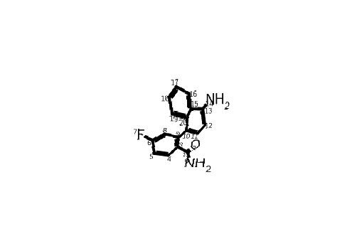 NC(=O)c1ccc(F)cc1-c1ccc(N)c2ccccc12